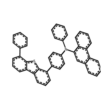 c1ccc(-c2cccc3c2sc2c(-c4ccc(N(c5ccccc5)c5cc6ccccc6c6ccccc56)cc4)cccc23)cc1